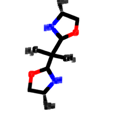 CC(C)(C1N[C@H](C(C)(C)C)CO1)C1N[C@H](C(C)(C)C)CO1